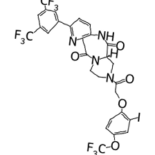 O=C1Nc2ccc(-c3cc(C(F)(F)F)cc(C(F)(F)F)c3)nc2C(=O)N2CCN(C(=O)COc3ccc(OC(F)(F)F)cc3I)C[C@@H]12